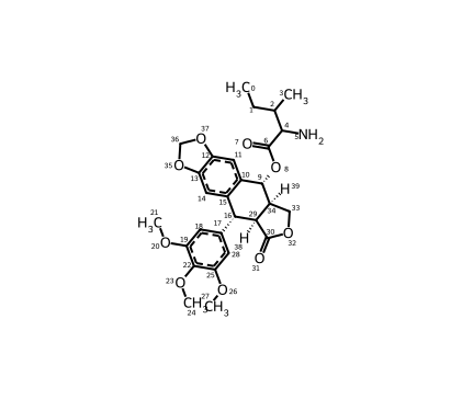 CCC(C)C(N)C(=O)O[C@H]1c2cc3c(cc2[C@@H](c2cc(OC)c(OC)c(OC)c2)[C@@H]2C(=O)OC[C@@H]21)OCO3